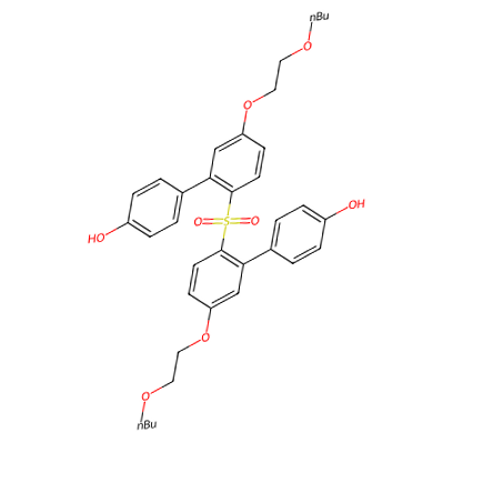 CCCCOCCOc1ccc(S(=O)(=O)c2ccc(OCCOCCCC)cc2-c2ccc(O)cc2)c(-c2ccc(O)cc2)c1